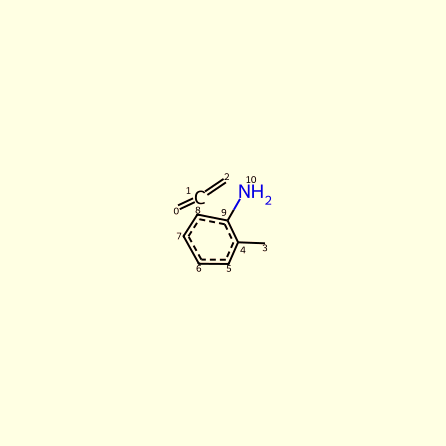 C=C=C.Cc1ccccc1N